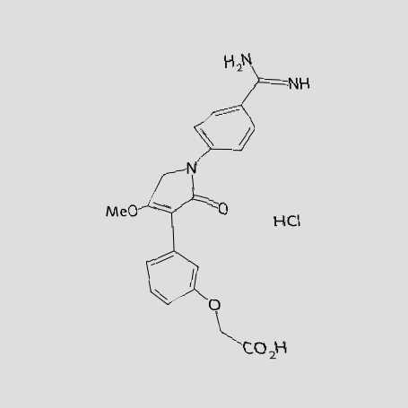 COC1=C(c2cccc(OCC(=O)O)c2)C(=O)N(c2ccc(C(=N)N)cc2)C1.Cl